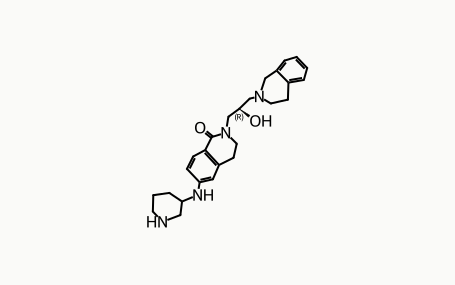 O=C1c2ccc(NC3CCCNC3)cc2CCN1C[C@H](O)CN1CCc2ccccc2C1